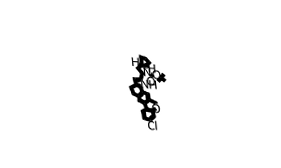 CC(C)(C)OC(=O)N1C(c2cc3c([nH]2)-c2cc4c(cc2CC3)-c2ccc(Cl)cc2OC4)C[C@@H]2CCC[C@@H]21